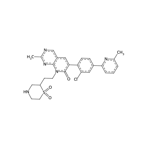 Cc1cccc(-c2ccc(-c3cc4cnc(C)nc4n(CCC4CNCCS4(=O)=O)c3=O)c(Cl)c2)n1